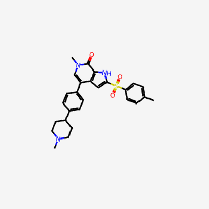 Cc1ccc(S(=O)(=O)c2cc3c(-c4ccc(C5CCN(C)CC5)cc4)cn(C)c(=O)c3[nH]2)cc1